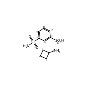 NC1CCC1.NS(=O)(=O)c1cccc(S(=O)(=O)O)c1